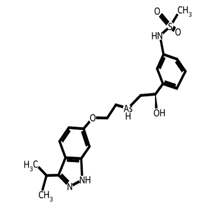 CC(C)c1n[nH]c2cc(OCC[AsH]C[C@H](O)c3cccc(NS(C)(=O)=O)c3)ccc12